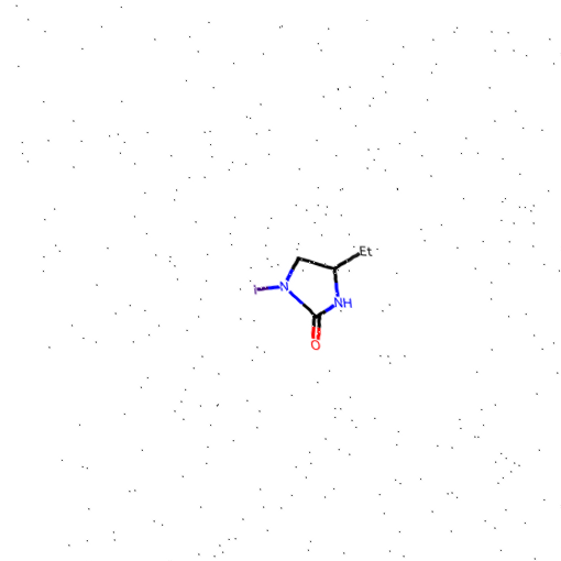 CCC1CN(I)C(=O)N1